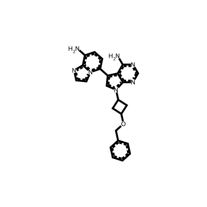 Nc1ncnc2c1c(-c1ccc(N)c3nccn13)cn2C1CC(OCc2ccccc2)C1